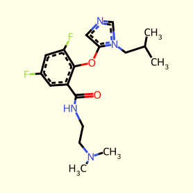 CC(C)Cn1cncc1Oc1c(F)cc(F)cc1C(=O)NCCN(C)C